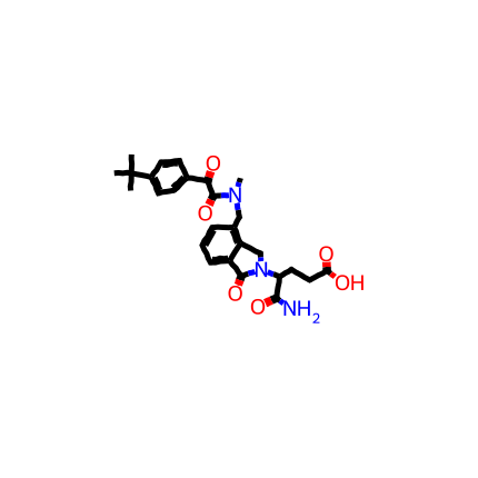 CN(Cc1cccc2c1CN(C(CCC(=O)O)C(N)=O)C2=O)C(=O)C(=O)c1ccc(C(C)(C)C)cc1